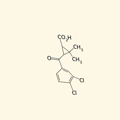 CC1(C)C(C(=O)O)C1C(=O)c1ccc(Cl)c(Cl)c1